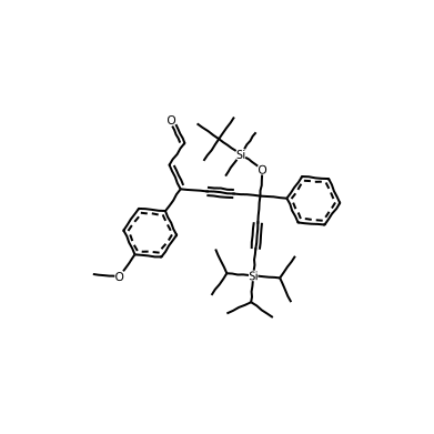 COc1ccc(/C(C#CC(C#C[Si](C(C)C)(C(C)C)C(C)C)(O[Si](C)(C)C(C)(C)C)c2ccccc2)=C/C=O)cc1